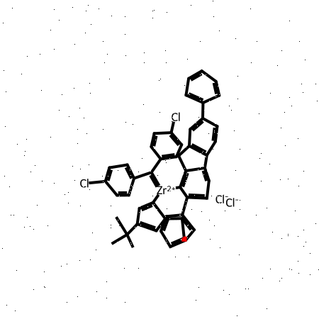 CCC1C=C(C(C)(C)C)C=[C]1[Zr+2](=[C](c1ccc(Cl)cc1)c1ccc(Cl)cc1)[c]1c(-c2ccccc2)ccc2c1Cc1cc(-c3ccccc3)ccc1-2.[Cl-].[Cl-]